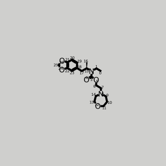 CCN(C(=O)OCCN1CCCOCC1)[C@H](C)Cc1ccc2c(c1)OCO2